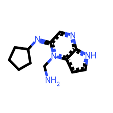 NCn1/c(=N\C2CCCC2)cnc2[nH]ccc21